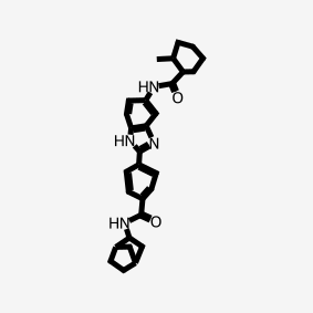 CC1CCCCC1C(=O)Nc1ccc2[nH]c(-c3ccc(C(=O)NC4CC5CCC4C5)cc3)nc2c1